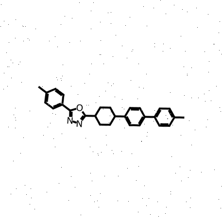 Cc1ccc(-c2ccc(C3CCC(c4nnc(-c5ccc(C)cc5)o4)CC3)cc2)cc1